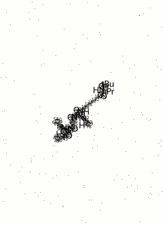 CC(C)[C@H](NC(=O)OC(C)(C)C)C(=O)OCCCCCCCCCCCCNC(=O)[C@@H]1CN(C(=O)c2ccc(C(=O)N3C[C@@H](C(=O)N[C@H]4C[C@@H]4c4ccccc4)[C@H](C(=O)N[C@H]4C[C@@H]4c4ccccc4)C3)cc2)C[C@H]1C(=O)N[C@H]1C[C@@H]1c1ccccc1